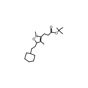 CN1OC(CCC2CCCCC2)C(I)=C1CCC(=O)OC(C)(C)C